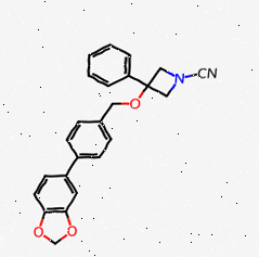 N#CN1CC(OCc2ccc(-c3ccc4c(c3)OCO4)cc2)(c2ccccc2)C1